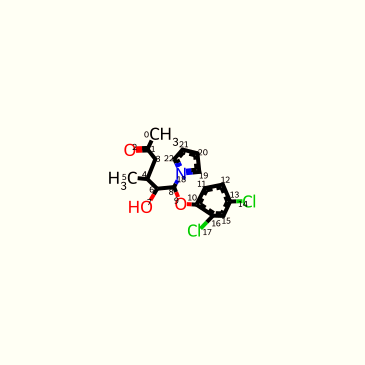 CC(=O)CC(C)C(O)C(Oc1ccc(Cl)cc1Cl)n1cccc1